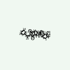 O=C(Nc1ccc(F)c(Cl)c1Cl)N1CCN2C(=O)N(C3CC3c3ccccc3)C(=O)C2C1